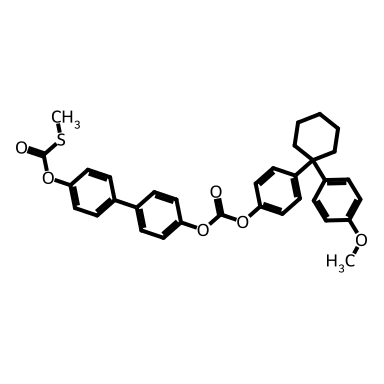 COc1ccc(C2(c3ccc(OC(=O)Oc4ccc(-c5ccc(OC(=O)SC)cc5)cc4)cc3)CCCCC2)cc1